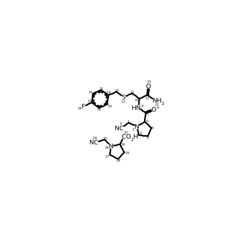 N#CCN1CCCC1C(=O)NC(CSCc1ccc(F)cc1)C(N)=O.N#CCN1CCCC1C(=O)O